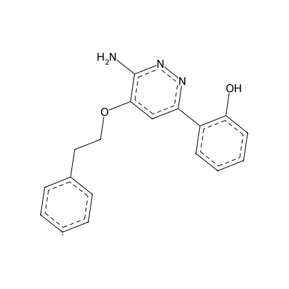 Nc1nnc(-c2ccccc2O)cc1OCCc1cc[c]cc1